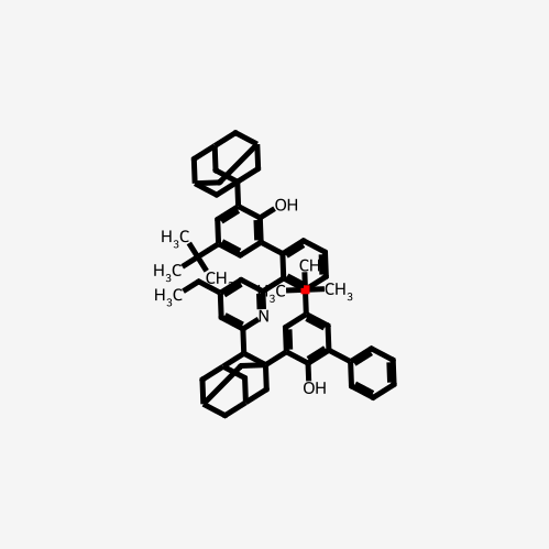 CCc1cc(-c2ccccc2-c2cc(C(C)(C)C)cc(C34CC5CC(CC(C5)C3)C4)c2O)nc(C2C3CC4CC(C3)CC2(c2cc(C(C)(C)C)cc(-c3ccccc3)c2O)C4)c1